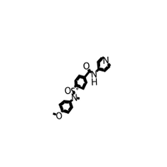 COc1ccc(N(C)[S+]([O-])c2ccc(C(=O)Nc3ccncc3)cc2)cc1